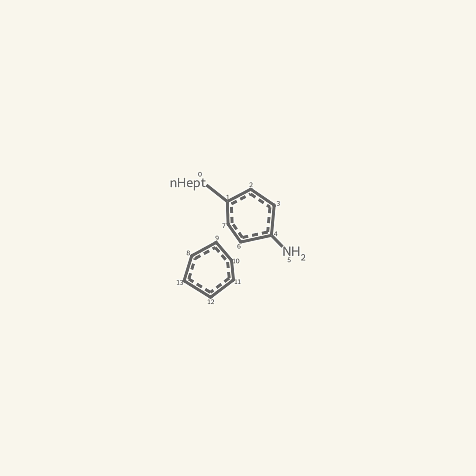 CCCCCCCc1ccc(N)cc1.c1ccccc1